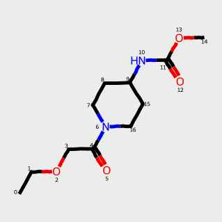 CCOCC(=O)N1CCC(NC(=O)OC)CC1